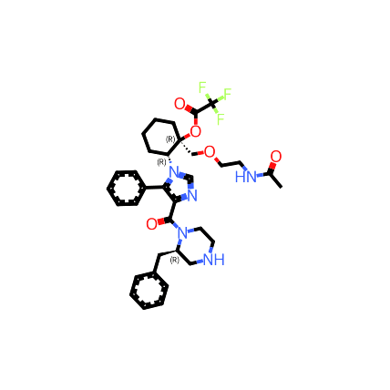 CC(=O)NCCOC[C@@]1(OC(=O)C(F)(F)F)CCCC[C@H]1n1cnc(C(=O)N2CCNC[C@H]2Cc2ccccc2)c1-c1ccccc1